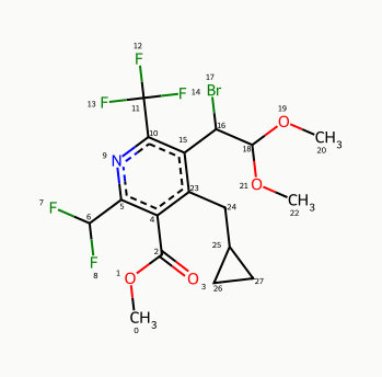 COC(=O)c1c(C(F)F)nc(C(F)(F)F)c(C(Br)C(OC)OC)c1CC1CC1